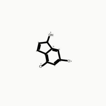 OC1C=Cc2c(Cl)cc(Cl)cc21